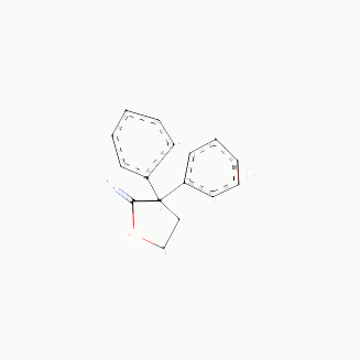 Br.N=C1OCCC1(c1ccccc1)c1ccccc1